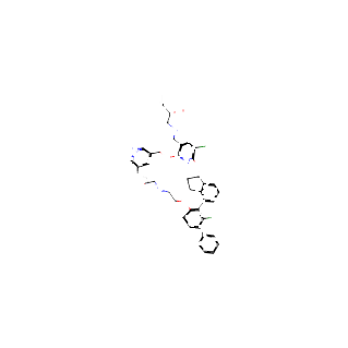 N#Cc1cncc(COc2nc(O[C@H]3CCc4c(-c5c(OCCNCCO)ccc(-c6ccccc6)c5Cl)cccc43)c(Cl)cc2CNCC(O)CC(=O)O)c1